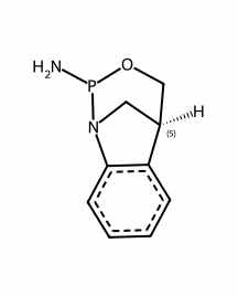 NP1OC[C@@H]2CN1c1ccccc12